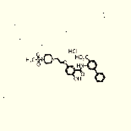 CS(=O)(=O)N1CCN(CCOc2ccc(O)c(C(=O)Nc3cc(-c4ccccc4)ccc3C(=O)O)c2)CC1.Cl